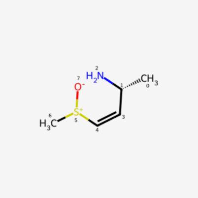 C[C@@H](N)/C=C\[S+](C)[O-]